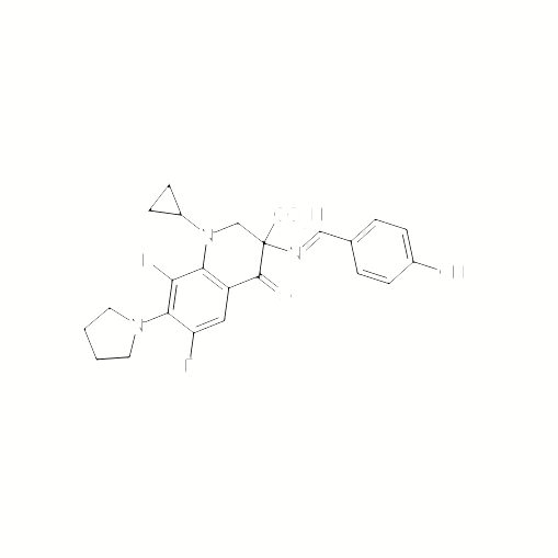 Cc1ccc(C=NC2(C(=O)O)CN(C3CC3)c3c(cc(F)c(N4CCCC4)c3F)C2=O)cc1